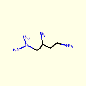 NCCC(N)CN(N)N